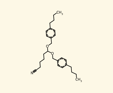 CCCCc1ccc(COC(CCCCC#N)OCc2ccc(CCCC)cc2)cc1